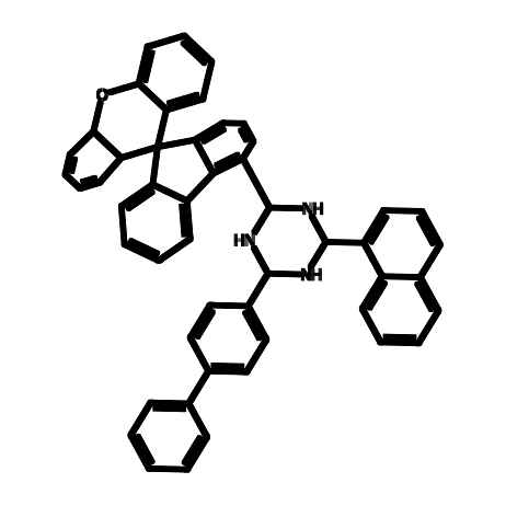 C1=CC2Oc3ccccc3C3(c4ccccc4-c4c(C5NC(c6ccc(-c7ccccc7)cc6)NC(c6cccc7ccccc67)N5)cccc43)C2C=C1